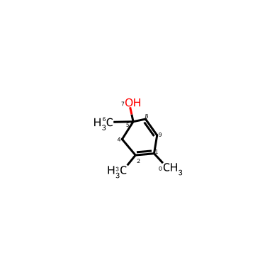 CC1=C(C)CC(C)(O)C=C1